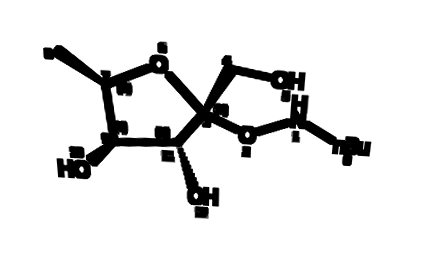 CCCCNO[C@@]1(CO)O[C@H](C)[C@H](O)[C@H]1O